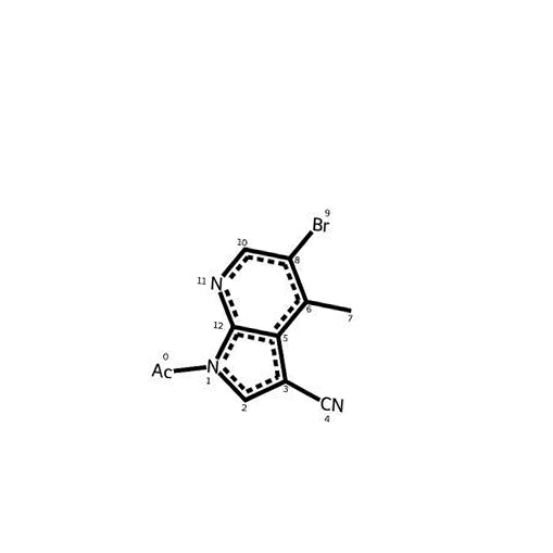 CC(=O)n1cc(C#N)c2c(C)c(Br)cnc21